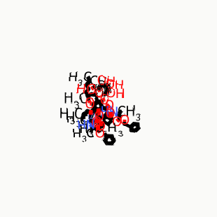 CC(C)=CCCC1(C)C=Cc2c(c(CC=C(C)C)c3c(c2O[C@@H]2O[C@H](CO)[C@@H](O)[C@@H](O)[C@H]2O)C(=O)C2C(NC(C)C(=O)OCc4ccccc4)C4CC5C(C)(C)OC(C/C=C(/C)C(=O)NC(C)C(=O)OCc6ccccc6)(C4=O)C25O3)O1